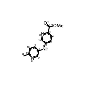 COC(=O)c1ccc(Nc2ccc(C)nc2)cn1